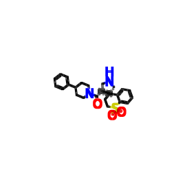 O=C([C@@H]1CNC[C@]12CCS(=O)(=O)c1ccccc12)N1CCC(c2ccccc2)CC1